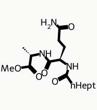 CCCCCCCC(=O)N[C@H](CCC(N)=O)C(=O)N[C@@H](C)C(=O)OC